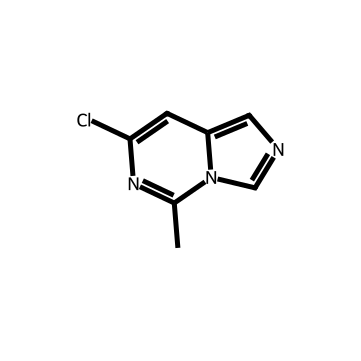 Cc1nc(Cl)cc2cncn12